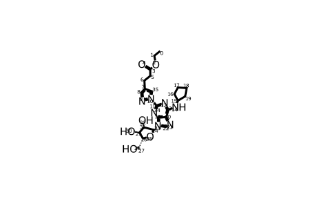 CCOC(=O)CCc1cnn(-c2nc(NC3CCCC3)c3ncn([C@@H]4O[C@H](CO)[C@@H](O)[C@@H]4O)c3n2)c1